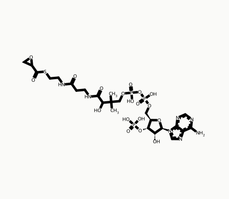 CC(C)(COP(=O)(O)OP(=O)(O)OC[C@H]1O[C@@H](n2cnc3c(N)ncnc32)[C@H](O)[C@@H]1OP(=O)(O)O)C(O)C(=O)NCCC(=O)NCCSC(=O)C1CO1